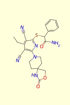 CCc1c(C#N)c(SC(C(N)=O)c2ccccc2)nc(N2CCC3(CC2)COC(=O)N3)c1C#N